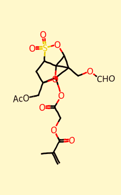 C=C(C)C(=O)OCC(=O)OC1C2(COC(C)=O)CC3C4(O2)C(OS3(=O)=O)C14COC=O